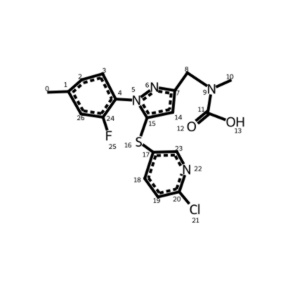 Cc1ccc(-n2nc(CN(C)C(=O)O)cc2Sc2ccc(Cl)nc2)c(F)c1